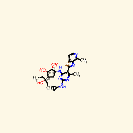 CCC(O)(CC)[C@H]1C[C@@H](Nc2nc(NC3CC3)nc(C)c2-c2nc3c(C)nccc3s2)[C@H](O)[C@@H]1O